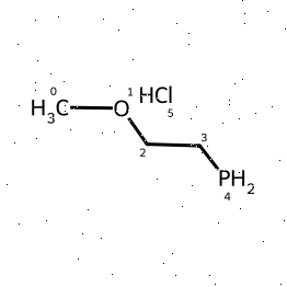 COCCP.Cl